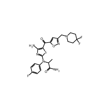 CC(C(N)=O)N(c1ccc(F)cc1)c1nc(N)c(C(=O)c2cc(CN3CCC(F)(F)CC3)no2)s1